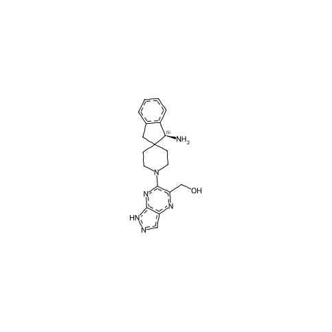 N[C@@H]1c2ccccc2CC12CCN(c1nc3[nH]ncc3nc1CO)CC2